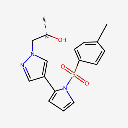 Cc1ccc(S(=O)(=O)n2cccc2-c2cnn(C[C@H](C)O)c2)cc1